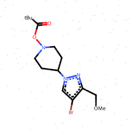 COCc1nn(C2CCN(OC(=O)C(C)(C)C)CC2)cc1Br